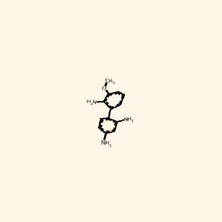 COc1cccc(-c2ccc(N)cc2N)c1N